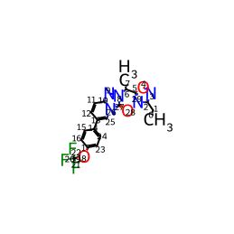 CCc1noc(C(C)n2nc3ccc(-c4ccc(OC(F)(F)F)cc4)cn3c2=O)n1